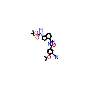 CC(C)Oc1ccc(-c2nc(-c3cccc4c3CC[C@@H]4NC(=O)OC(C)(C)C)no2)cc1C#N